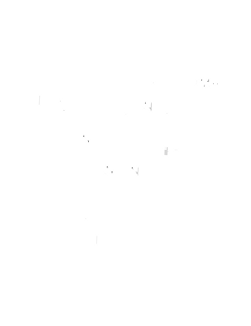 CCOC(=O)c1cc(N2CC(OC)C2)c2c(C(C)C)nn(-c3cccc(C)c3)c2n1